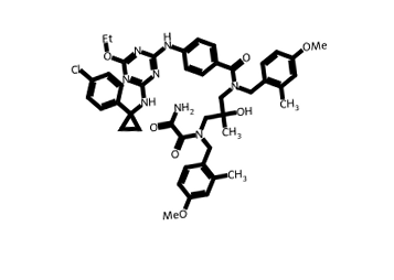 CCOc1nc(Nc2ccc(C(=O)N(Cc3ccc(OC)cc3C)CC(C)(O)CN(Cc3ccc(OC)cc3C)C(=O)C(N)=O)cc2)nc(NC2(c3ccc(Cl)cc3)CC2)n1